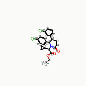 CCOC(=O)C(C1CC1)N1C(=O)CCC(c2cccc(Cl)c2)C1c1ccc(Cl)cc1